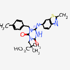 Cc1ccc(Cn2c(=O)n(CC(C)(C)C(=O)O)c(=O)[nH]/c2=N\c2ccc3nc(C)sc3c2)cc1